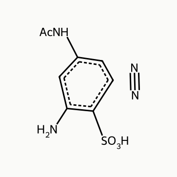 CC(=O)Nc1ccc(S(=O)(=O)O)c(N)c1.N#N